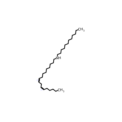 CCCCC/C=C\C/C=C\CCCCCCCCNCCCCCCCCCCCC